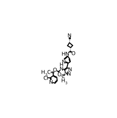 C[C@@H](OC(=O)Nc1c(-c2ccc(NC(=O)[C@H]3C[C@@H](C#N)C3)cn2)nnn1C)c1cccnc1Cl